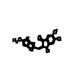 Cc1cc2oc(C=C3C(=O)c4cc(Cl)c(Cl)cc4C3=O)cc2s1